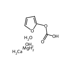 O.O.O=C(O)Oc1ccco1.[CaH2].[MgH2]